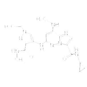 CCn1cc(Nc2cc(NC)c3ncc(C(=O)NC4CC4)n3n2)c(C(=O)NC)n1